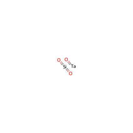 O=[Si]=O.[O]=[Ta]